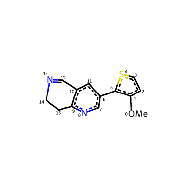 COc1ccsc1-c1cnc2c(c1)C=NCC2